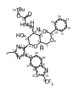 Cc1nc([C@@H]2O[C@@H]3COC(c4ccccc4)O[C@@H]3[C@H](NNC(=O)OC(C)(C)C)[C@H]2O)n(-c2ccc3nc(C(F)(F)F)sc3c2)n1